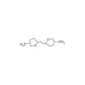 CC1CCC(CCC2CCC(C)CO2)OC1